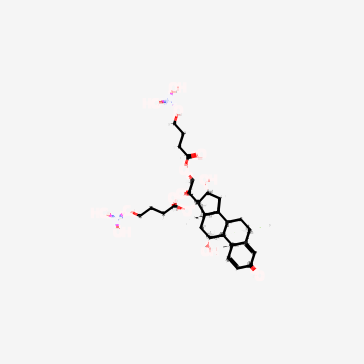 C[C@]12C=CC(=O)C=C1[C@@H](F)CC1C3C[C@@H](O)[C@](OC(=O)CCCON(O)O)(C(=O)COC(=O)CCCON(O)O)[C@@]3(C)C[C@H](O)[C@@]12F